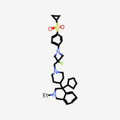 CCN1Cc2ccccc2C(C2CCCC2)(C2CCN(CC3(F)CN(c4ccc(S(=O)(=O)C5CC5)cc4)C3)CC2)C1